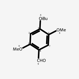 COc1cc(OCC(C)C)c(OC)cc1C=O